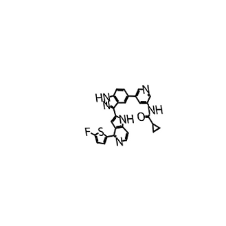 O=C(Nc1cncc(-c2ccc3[nH]nc(-c4cc5c(-c6ccc(F)s6)nccc5[nH]4)c3c2)c1)C1CC1